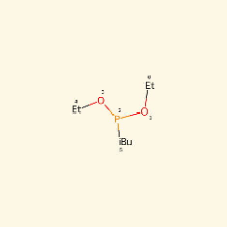 CCOP(OCC)C(C)CC